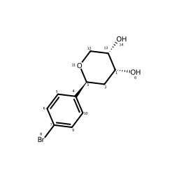 O[C@@H]1C[C@@H](c2ccc(Br)cc2)OC[C@@H]1O